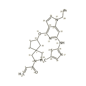 C=CC(=O)N1CCC2(CCC(Oc3nc(Nc4ncc(C)s4)cc4c3ccn4CC(C)C)C2)C1